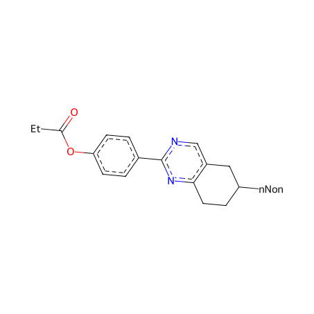 CCCCCCCCCC1CCc2nc(-c3ccc(OC(=O)CC)cc3)ncc2C1